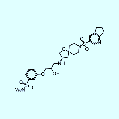 CNS(=O)(=O)c1cccc(OCC(O)CN[C@H]2COC3(CCN(S(=O)(=O)c4cnc5c(c4)CCC5)CC3)C2)c1